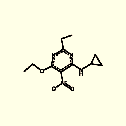 CCOc1nc(CC)nc(NC2CC2)c1[N+](=O)[O-]